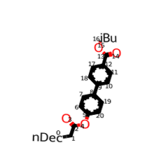 CCCCCCCCCCCC(=O)Oc1ccc(-c2ccc(C(=O)OC(C)CC)cc2)cc1